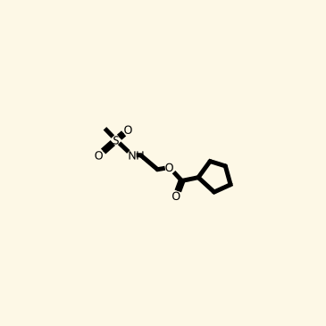 CS(=O)(=O)NCCOC(=O)C1CCCC1